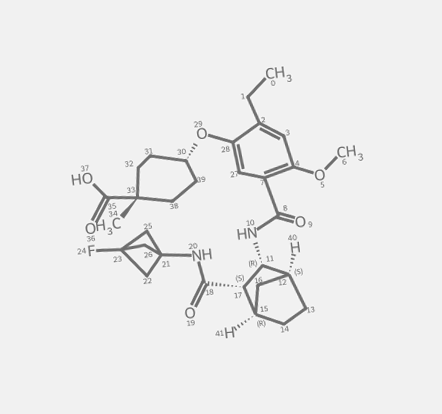 CCc1cc(OC)c(C(=O)N[C@@H]2[C@H]3CC[C@H](C3)[C@@H]2C(=O)NC23CC(F)(C2)C3)cc1O[C@H]1CC[C@@](C)(C(=O)O)CC1